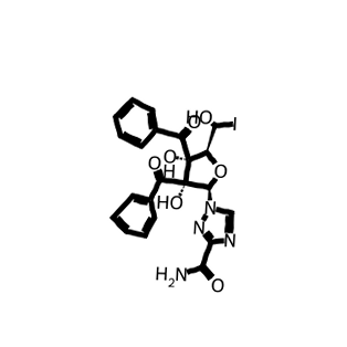 NC(=O)c1ncn([C@@H]2O[C@H](C(O)I)[C@](O)(C(=O)c3ccccc3)[C@]2(O)C(=O)c2ccccc2)n1